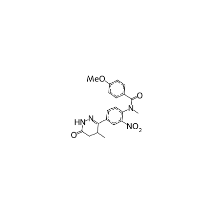 COc1ccc(C(=O)N(C)c2ccc(C3=NNC(=O)CC3C)cc2[N+](=O)[O-])cc1